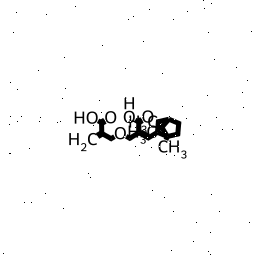 C=C(COCC(=CC1CC2CCC1(C)C2(C)C)C(=O)O)C(=O)O